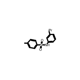 Cc1ccc(S(=O)(=O)Nc2cccc(C(C)C)c2)cc1